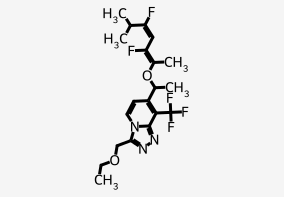 CCOCc1nnc2c(C(F)(F)F)c(C(C)O/C(C)=C(F)/C=C(/F)C(C)C)ccn12